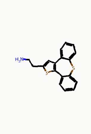 NCCc1cc2c(s1)-c1ccccc1Sc1ccccc1-2